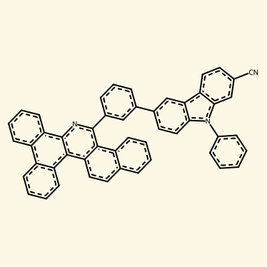 N#Cc1ccc2c3cc(-c4cccc(-c5nc6c7ccccc7c7ccccc7c6c6ccc7ccccc7c56)c4)ccc3n(-c3ccccc3)c2c1